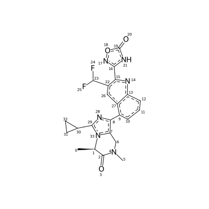 C[C@@H]1C(=O)N(C)Cc2c(-c3cccc4nc(-c5noc(=O)[nH]5)c(C(F)F)cc34)nc(C3CC3)n21